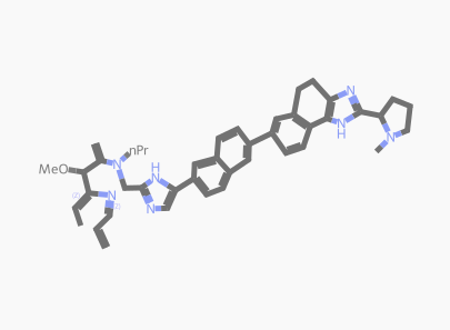 C=C/C=N\C(=C/C)C(OC)C(=C)N(CCC)Cc1ncc(-c2ccc3cc(-c4ccc5c(c4)CCc4nc(C6CCCN6C)[nH]c4-5)ccc3c2)[nH]1